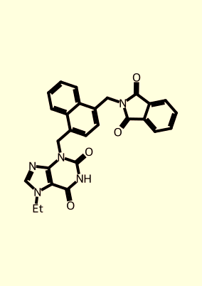 CCn1cnc2c1c(=O)[nH]c(=O)n2Cc1ccc(CN2C(=O)c3ccccc3C2=O)c2ccccc12